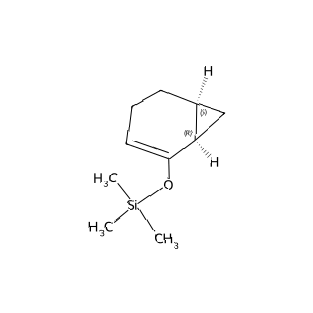 C[Si](C)(C)OC1=CCC[C@H]2C[C@@H]12